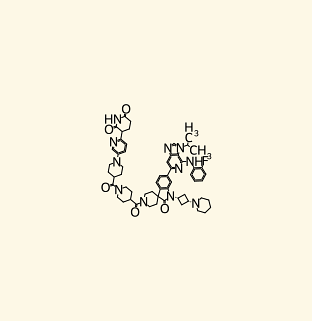 CC(C)n1cnc2cc(-c3ccc4c(c3)N([C@H]3C[C@@H](N5CCCCC5)C3)C(=O)C43CCN(C(=O)C4CCN(C(=O)C5CCN(c6ccc(C7CCC(=O)NC7=O)nc6)CC5)CC4)CC3)nc(Nc3ccccc3F)c21